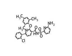 Cc1cc(C)c(Oc2nc(-c3ccccc3Cl)ccc2C(=O)NS(=O)(=O)c2cccc(N)n2)c(C)c1